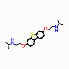 CC(C)NCCOc1ccc2c(c1)sc1cc(OCCNC(C)C)ccc12